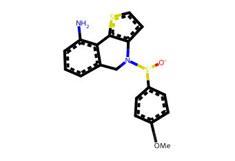 COc1ccc([S+]([O-])N2Cc3cccc(N)c3-c3sccc32)cc1